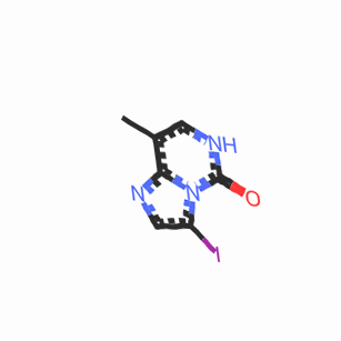 Cc1c[nH]c(=O)n2c(I)cnc12